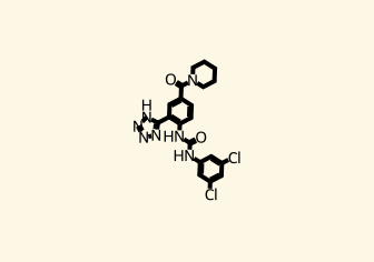 O=C(Nc1cc(Cl)cc(Cl)c1)Nc1ccc(C(=O)N2CCCCC2)cc1-c1nnn[nH]1